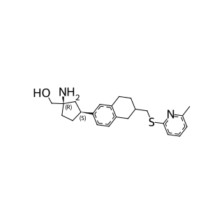 Cc1cccc(SCC2CCc3cc([C@H]4CC[C@](N)(CO)C4)ccc3C2)n1